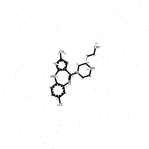 Cc1cc2c(s1)Nc1ccc(Cl)cc1N=C2N1CCN[C@@H](CCO)C1